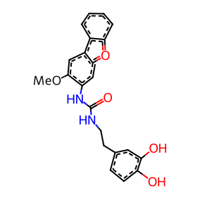 COc1cc2c(cc1NC(=O)NCCc1ccc(O)c(O)c1)oc1ccccc12